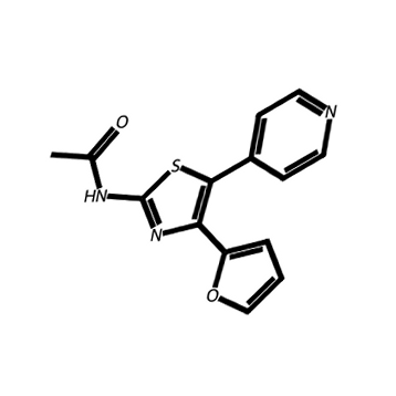 CC(=O)Nc1nc(-c2ccco2)c(-c2ccncc2)s1